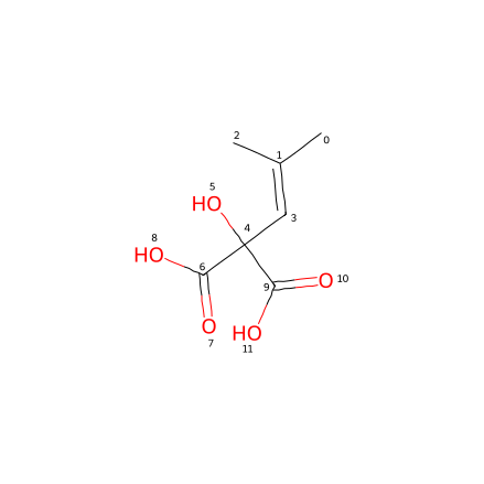 CC(C)=CC(O)(C(=O)O)C(=O)O